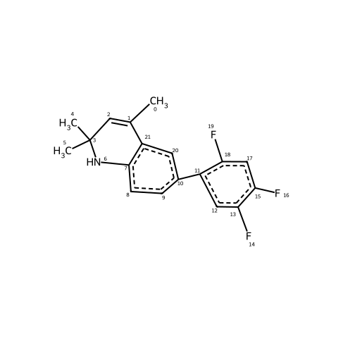 CC1=CC(C)(C)Nc2ccc(-c3cc(F)c(F)cc3F)cc21